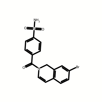 NS(=O)(=O)c1ccc(C(=O)N2C=Cc3ccc(Br)cc3C2)cc1